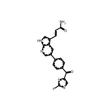 NC(=O)/C=C/c1c[nH]c2ncc(-c3ccc(C(=O)c4cnc(F)s4)cc3)cc12